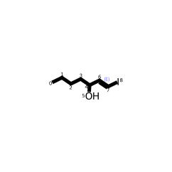 CCCCC(O)/C=C/I